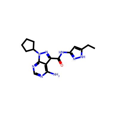 CCc1cc(NC(=O)c2nn(C3CCCC3)c3ncnc(N)c23)n[nH]1